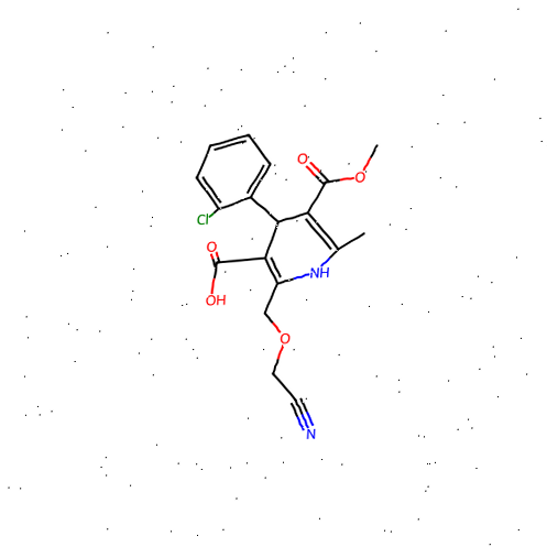 COC(=O)C1=C(C)NC(COCC#N)=C(C(=O)O)C1c1ccccc1Cl